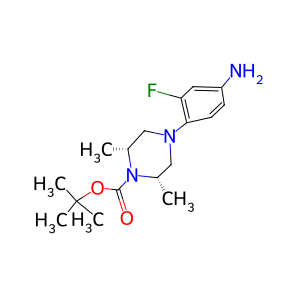 C[C@@H]1CN(c2ccc(N)cc2F)C[C@H](C)N1C(=O)OC(C)(C)C